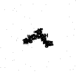 Cc1cc(C)cc(-c2[nH]c3sc(C(C)(C)CC4C5CCC4C(=O)N5)cc3c2CCN2CCN(C(C)C(=O)N3CCCC3)CC2)c1